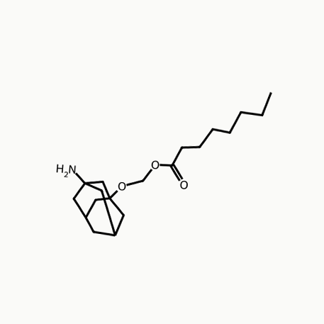 CCCCCCCC(=O)OCOC12CC3CC(CC(N)(C3)C1)C2